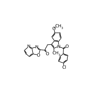 COc1ccc2c(c1)c(CC(=O)c1nc3ncccc3o1)c(C)n2C(=O)c1ccc(Cl)cc1